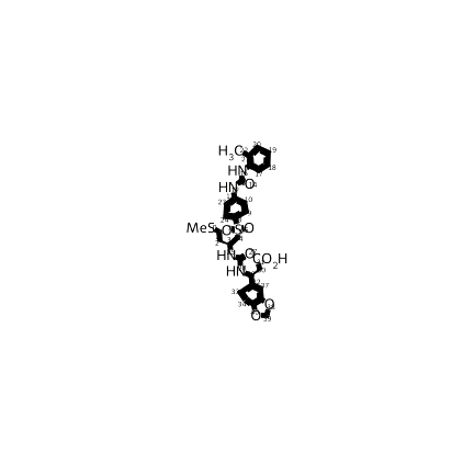 CSCC[C@@H](CS(=O)(=O)c1ccc(NC(=O)Nc2ccccc2C)cc1)NC(=O)N[C@@H](CC(=O)O)c1ccc2c(c1)OCO2